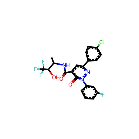 CC(NC(=O)c1cc(-c2ccc(Cl)cc2)nn(-c2cccc(F)c2)c1=O)C(O)C(F)(F)F